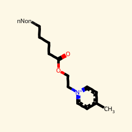 CCCCCCCCCCCCCC(=O)OCC[n+]1ccc(C)cc1